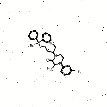 CC1C(=O)N(C(CO)CCO[Si](c2ccccc2)(c2ccccc2)C(C)(C)C)CCN1c1cccc(C(F)(F)F)c1